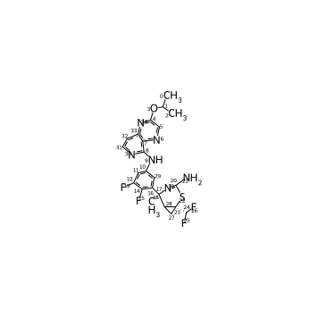 CC(C)Oc1cnc2c(Nc3cc(F)c(F)c([C@@]4(C)N=C(N)S[C@@]5(C(F)F)CC54)c3)nccc2n1